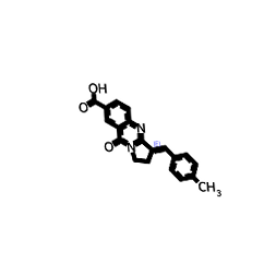 Cc1ccc(/C=C2\CCn3c2nc2ccc(C(=O)O)cc2c3=O)cc1